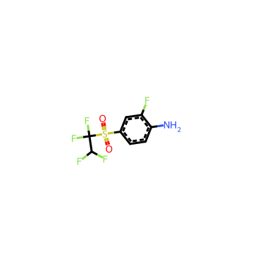 Nc1ccc(S(=O)(=O)C(F)(F)C(F)F)cc1F